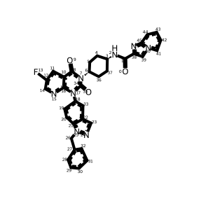 O=C(N[C@H]1CC[C@@H](n2c(=O)c3cc(F)cnc3n(-c3ccc4c(cnn4Cc4ccccc4)c3)c2=O)CC1)c1cn2ccccc2n1